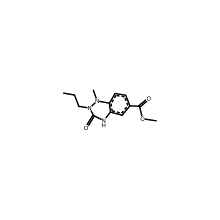 CCCN1C(=O)Nc2cc(C(=O)OC)ccc2N1C